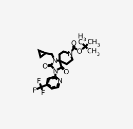 CC(C)(C)OC(=O)N1CCC2(CC1)C(=O)N(c1cc(C(F)(F)F)ccn1)C(=O)N2CC1CC1